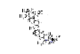 BC(B)=C(B)C(=O)N(CCOC)c1cccc(Nc2ncc3cc(/C(C)=C(C)/C=C\NC=O)ccc3n2)c1